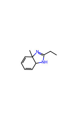 CCC1=NC2(C)C=CC=CC2N1